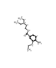 CCOc1cc(C(=O)OCCN(CC)CC)ccc1N